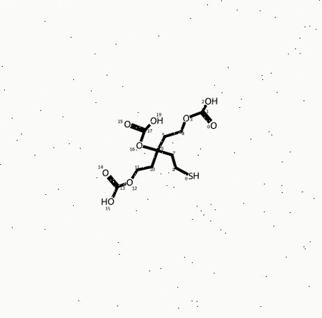 O=C(O)OCCC(CCS)(CCOC(=O)O)OC(=O)O